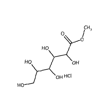 COC(=O)C(O)C(O)C(O)C(O)CO.Cl